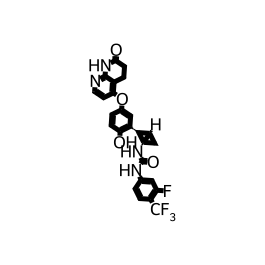 O=C1CCc2c(Oc3ccc(O)c([C@@H]4[C@@H]5C[C@@]45NC(=O)Nc4ccc(C(F)(F)F)c(F)c4)c3)ccnc2N1